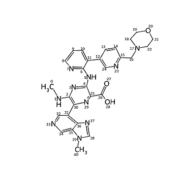 CNc1nc(Nc2ncccc2-c2ccc(CN3CCOCC3)nc2)c(C(=O)O)nc1-c1cncc2c1ncn2C